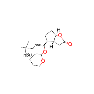 CCCCC(C)(C)CC=C(OC1CCCCO1)[C@H]1CC[C@H]2OC(=O)C[C@H]12